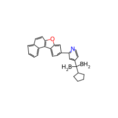 BC(B)(c1ccnc(-c2ccc3c(c2)oc2ccc4ccccc4c23)c1)C1CCCC1